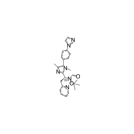 Cc1nc([C@H](Cc2ccccn2)N(C=O)OC(C)(C)C)n(C)c1-c1ccc(-n2ccnc2)cc1